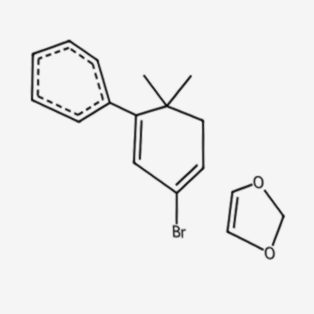 C1=COCO1.CC1(C)CC=C(Br)C=C1c1ccccc1